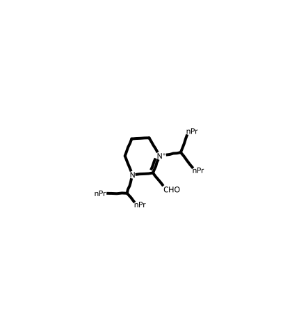 CCCC(CCC)N1CCC[N+](C(CCC)CCC)=C1C=O